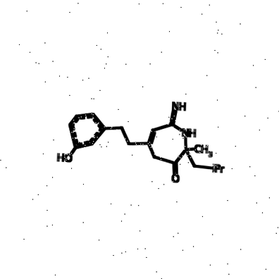 CC(C)CC1(C)NC(=N)C=C(CCc2cccc(O)c2)CC1=O